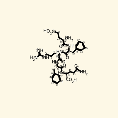 N=C(N)NCCC[C@H](NC(=O)[C@H](Cc1ccccc1)NC(=O)[C@@H](N)CCC(=O)O)C(=O)N[C@@H](Cc1ccccc1)C(=O)N[C@@H](CCC(N)=O)C(=O)O